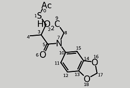 CC(=O)SCC(C)C(=O)N(CC(=O)O)c1ccc2c(c1)OCO2